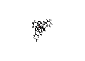 O=C1N(Cc2ccccc2)c2ccccc2C12Oc1ccccc1C21C(=O)N(Cc2ccccc2)c2ccccc21